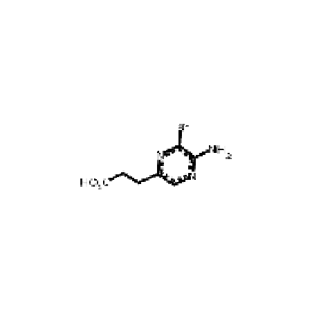 Nc1ncc(CCC(=O)O)nc1Br